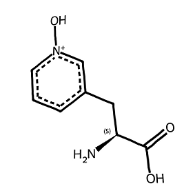 N[C@@H](Cc1ccc[n+](O)c1)C(=O)O